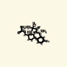 C[C@@H](N[S@+]([O-])C(C)(C)C)c1cc(F)ccc1N1CCC(COC(N)=O)CC1